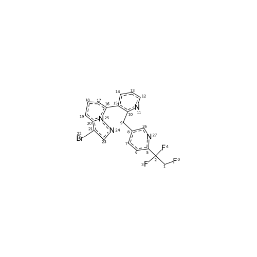 FCC(F)(F)c1ccc(Cc2ncccc2-c2cccc3c(Br)cnn23)cn1